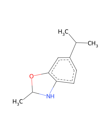 CC1Nc2ccc(C(C)C)cc2O1